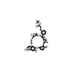 Cn1nc2nc1-c1cc(ccc1F)Oc1c(F)cc3[nH]ccc3c1CCSCC(F)(F)C(C)(C)CCC2(C)c1cccc(CCC(=O)OC(C)(C)C)c1